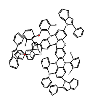 Fc1cccc(F)c1N1c2cc3c(cc2B2c4cc5c(cc4Oc4cc(-n6c(-c7ccccc7)cc7ccccc76)cc1c42)N(c1c(F)cccc1F)c1cc(-n2c(-c4ccccc4)cc4ccccc42)cc2c1B5c1ccccc1N2c1ccccc1)B1c2ccccc2N(c2ccccc2)c2cc(-n4c(-c5ccccc5)cc5ccccc54)cc(c21)N3c1c(F)cccc1F